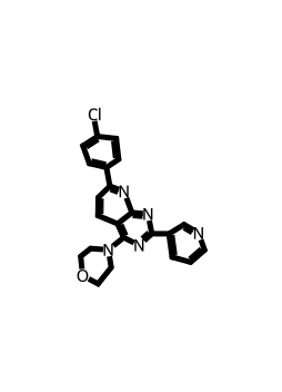 Clc1ccc(-c2ccc3c(N4CCOCC4)nc(-c4cccnc4)nc3n2)cc1